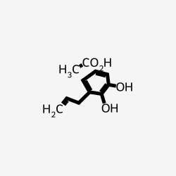 C=CCc1cccc(O)c1O.CC(=O)O